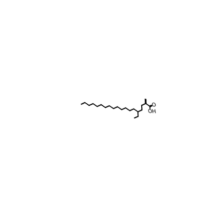 C=C(CCC(CC)CCCCCCCCCCCCCC)C(=O)O